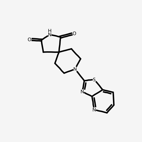 O=C1CC2(CCN(c3nc4ncccc4s3)CC2)C(=O)N1